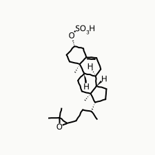 CC(CCC1OC1(C)C)[C@H]1CC[C@H]2[C@@H]3CC=C4C[C@@H](OS(=O)(=O)O)CC[C@]4(C)[C@H]3CC[C@]12C